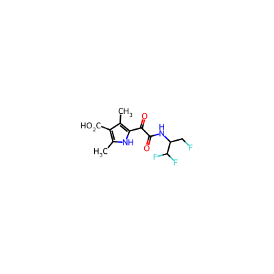 Cc1[nH]c(C(=O)C(=O)NC(CF)C(F)F)c(C)c1C(=O)O